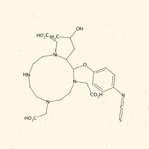 CC(O)CC1C(Oc2ccc(N=C=S)cc2)N(CC(=O)O)CCN(CC(=O)O)CCNCCN1CC(=O)O